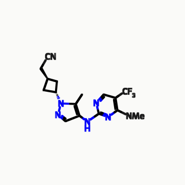 CNc1nc(Nc2cnn([C@H]3C[C@H](CC#N)C3)c2C)ncc1C(F)(F)F